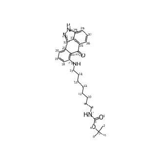 CC(C)(C)OC(=O)NCCCCCCCCNc1cccc2c1C(=O)c1cccc3[nH]nc-2c13